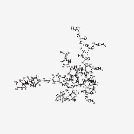 CCOC(=O)CCCC(CC(=O)OCC)NC(=O)Cc1cc(C)cc(OP(=O)(O)O)c1C(C)(C)CC(=O)O[C@@H](CN(Cc1c(F)cc(-c2ccn(C(F)F)n2)cc1F)NC(=O)[C@@H](NC(=O)OC)C(C)(C)C(F)(F)F)[C@H](Cc1ccc(C#Cc2cnc(N3CC4CCC(C3)N4C3COC3)nc2)cc1)NC(=O)[C@@H](NC(=O)OC)C(C)(C)C(F)(F)F